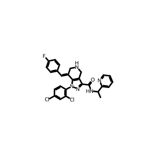 CC(NC(=O)c1nn(-c2ccc(Cl)cc2Cl)c2c1CNC/C2=C\c1ccc(F)cc1)c1ccccn1